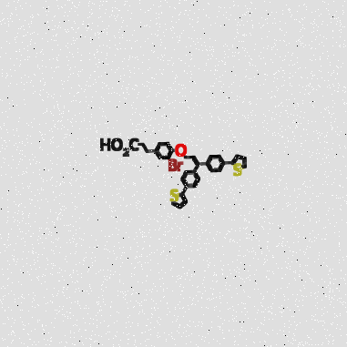 O=C(O)CCc1ccc(OCC=C(c2ccc(-c3cccs3)cc2)c2ccc(-c3cccs3)cc2)c(Br)c1